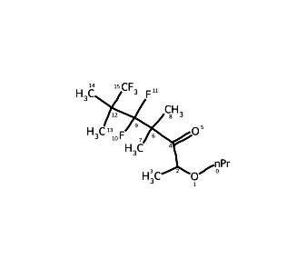 CCCOC(C)C(=O)C(C)(C)C(F)(F)C(C)(C)C(F)(F)F